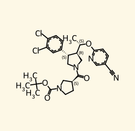 C[C@H](Oc1ccc(C#N)cn1)[C@H]1CN(C(=O)[C@H]2CCN(C(=O)OC(C)(C)C)C2)C[C@@H]1c1ccc(Cl)c(Cl)c1